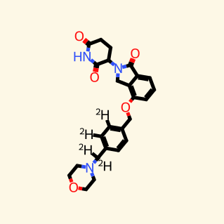 [2H]c1c(COc2cccc3c2CN(C2CCC(=O)NC2=O)C3=O)ccc(C([2H])([2H])N2CCOCC2)c1[2H]